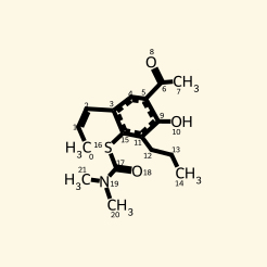 C/C=C\c1cc(C(C)=O)c(O)c(CCC)c1SC(=O)N(C)C